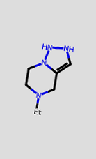 CCN1CCN2NNC=C2C1